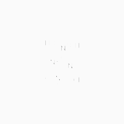 Cc1nc(Cl)nc(N(C)C)n1